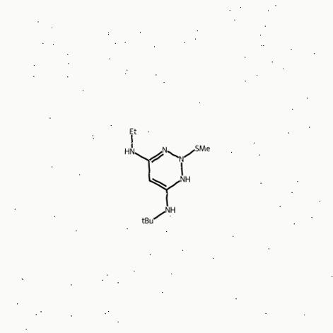 CCNC1=NN(SC)NC(NC(C)(C)C)=C1